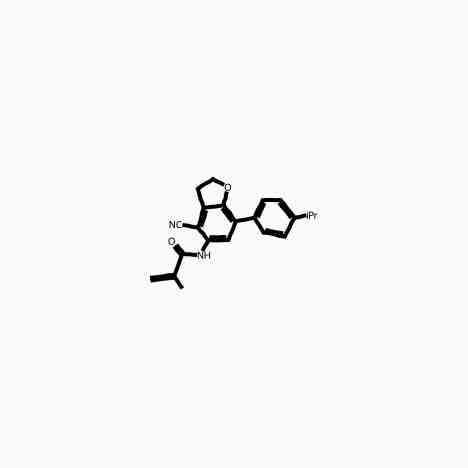 C=C(C)C(=O)Nc1cc(-c2ccc(C(C)C)cc2)c2c(c1C#N)CCO2